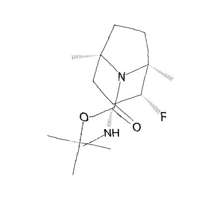 CN[C@@H]1C[C@@]2(C)CC[C@@](C)([C@@H]1F)N2C(=O)OC(C)(C)C